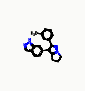 Cc1cccc(-c2nn3c(c2-c2ccc4cn[nH]c4c2)CCC3)c1